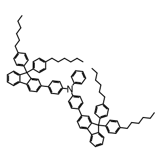 CCCCCCc1ccc(C2(c3ccc(CCCCCC)cc3)c3ccccc3-c3ccc(-c4ccc(N(c5ccccc5)c5ccc(-c6ccc7c(c6)C(c6ccc(CCCCCC)cc6)(c6ccc(CCCCCC)cc6)c6ccccc6-7)cc5)cc4)cc32)cc1